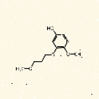 COCCCOc1cc(O)cnc1OC